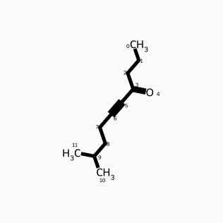 CCCC(=O)C#CCCC(C)C